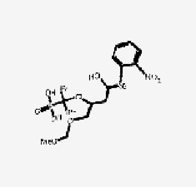 COCOCC(CC(O)[Se]c1ccccc1[N+](=O)[O-])OC(C(C)C)(C(C)C)P(=O)(O)O